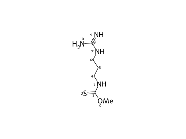 COC(=S)NCCCNC(=N)N